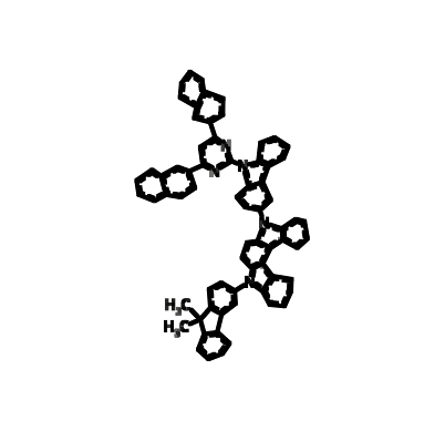 CC1(C)c2ccccc2-c2cc(-n3c4ccccc4c4c5c6ccccc6n(-c6ccc7c(c6)c6ccccc6n7-c6nc(-c7ccc8ccccc8c7)cc(-c7ccc8ccccc8c7)n6)c5ccc43)ccc21